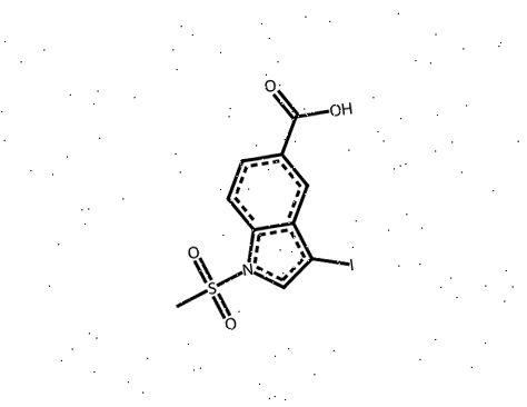 CS(=O)(=O)n1cc(I)c2cc(C(=O)O)ccc21